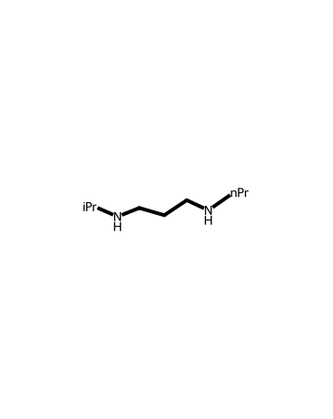 CCCNCCCNC(C)C